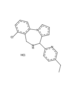 CCc1ccc(C2NCc3c(Cl)cccc3-n3cccc32)nc1.Cl